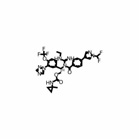 CCNC(=N)N(C(=O)c1ccc(-c2cnn(C(F)F)c2)cc1)[C@H](COC(=O)NC1(C)CC1)c1ccc(OC(F)(F)F)c(-n2cncn2)c1